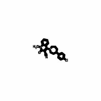 Cn1c(=O)c(C#N)c(N2CCCC(c3ccc(Cl)cc3)CC2)c2ccccc21